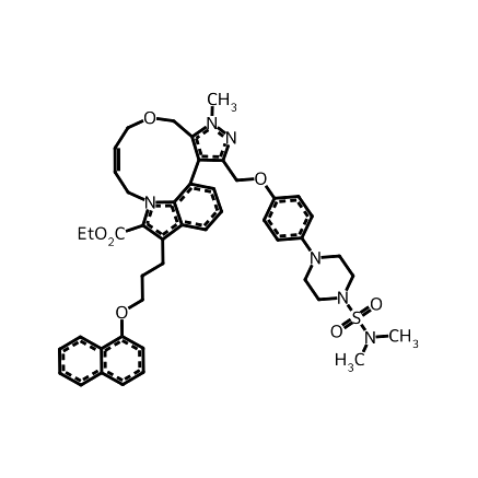 CCOC(=O)c1c(CCCOc2cccc3ccccc23)c2cccc3c2n1C/C=C\COCc1c-3c(COc2ccc(N3CCN(S(=O)(=O)N(C)C)CC3)cc2)nn1C